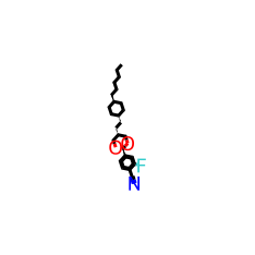 CCCCCC[C@H]1CC[C@H](CC[C@H]2CO[C@H](c3ccc(C#N)c(F)c3)OC2)CC1